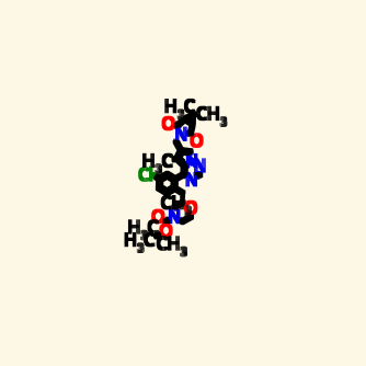 Cc1cc(Cl)cc(-c2ncnn3cc(CN4C(=O)C5C(C4=O)C5(C)C)c(C)c23)c1C[C@@H]1CN(C(=O)OC(C)(C)C)CCO1